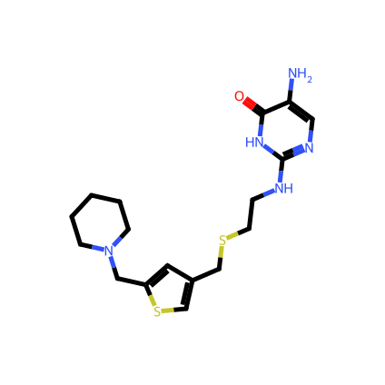 Nc1cnc(NCCSCc2csc(CN3CCCCC3)c2)[nH]c1=O